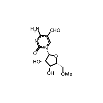 COC[C@H]1O[C@@H](n2cc(C=O)c(N)nc2=O)[C@@H](O)[C@@H]1O